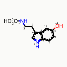 O=C(O)NCCc1c[nH]c2ccc(O)cc12